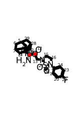 NC(=O)C12CC3CC(C1)C(NC(=O)CN1CCN(c4ccc(F)cc4)S1(=O)=O)C(C3)C2